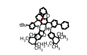 CC(C)(C)c1ccc(N2c3cc4c(oc5ccccc54)c4c3B(c3oc5cc6c(cc5c32)C(C)(C)CCC6(C)C)N(c2ccc3c(c2)C(C)(C)CCC3(C)C)c2cc(-c3ccccc3)ccc2-4)c(-c2ccccc2)c1